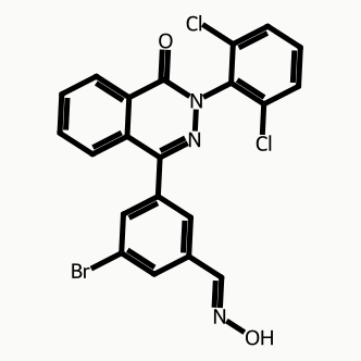 O=c1c2ccccc2c(-c2cc(Br)cc(/C=N/O)c2)nn1-c1c(Cl)cccc1Cl